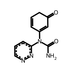 NC(=O)N(C1=CC(=O)CC=C1)c1cccnn1